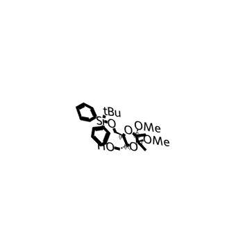 CO[C@@]1(C)O[C@H](CO)[C@@H](CO[Si](c2ccccc2)(c2ccccc2)C(C)(C)C)O[C@]1(C)OC